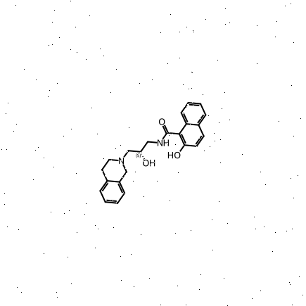 O=C(NC[C@H](O)CN1CCc2ccccc2C1)c1c(O)ccc2ccccc12